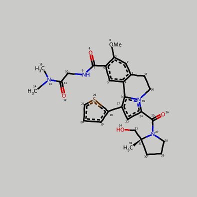 COc1cc2c(cc1C(=O)NCC(=O)N(C)C)-c1c(-c3cccs3)cc(C(=O)N3CCC[C@]3(C)CO)n1CC2